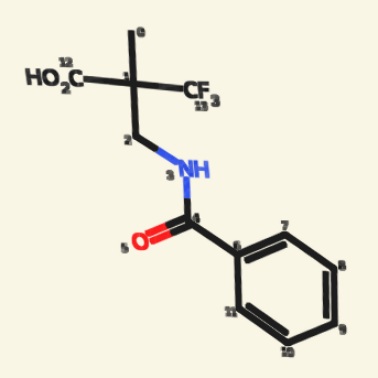 CC(CNC(=O)c1ccccc1)(C(=O)O)C(F)(F)F